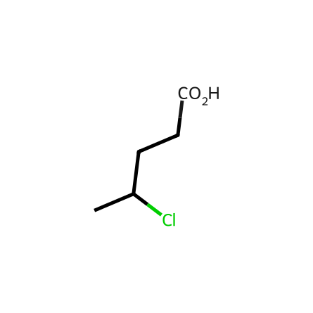 CC(Cl)CCC(=O)O